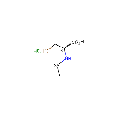 C[Se]N[C@@H](CS)C(=O)O.Cl